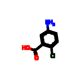 Nc1ccc(Cl)c(S(=O)O)c1